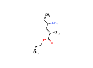 C=CCOC(=O)C(C)=CC(N)C=C